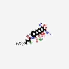 Br.CN(C)[C@@H]1C(O)=C(C(N)=O)C(=O)[C@@]2(O)C(O)=C3C(=O)c4c(ccc(NC(=O)C(Br)CCC(=O)O)c4O)CC3CC12